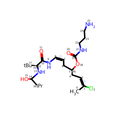 C/C(Cl)=C\C[C@@H](C/C=C\NC(=O)[C@@H](NC(O)C(C)C)C(C)(C)C)OC(=O)NCCCN